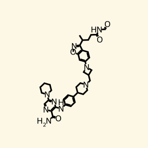 CC(CCC(=O)NC=O)c1noc2cc(N3CC(CN4CCC(c5ccc(Nc6nc(N7CCCCC7)cnc6C(N)=O)cc5)CC4)C3)ccc12